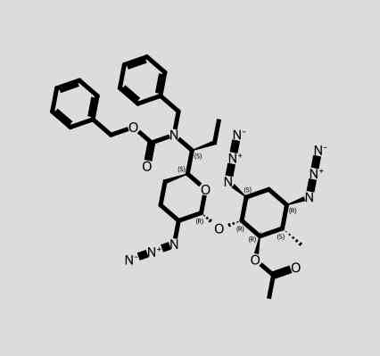 CC[C@@H]([C@@H]1CCC(N=[N+]=[N-])[C@@H](O[C@H]2[C@H](OC(C)=O)[C@@H](C)[C@H](N=[N+]=[N-])C[C@@H]2N=[N+]=[N-])O1)N(Cc1ccccc1)C(=O)OCc1ccccc1